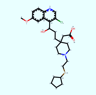 COc1ccc2ncc(Cl)c(C(O)CCC3(CC(=O)O)CCN(CCSC4CCCC4)CC3)c2c1